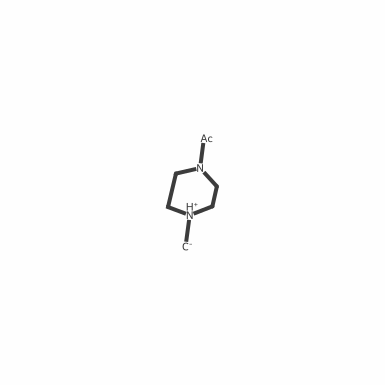 [CH2-][NH+]1CCN(C(C)=O)CC1